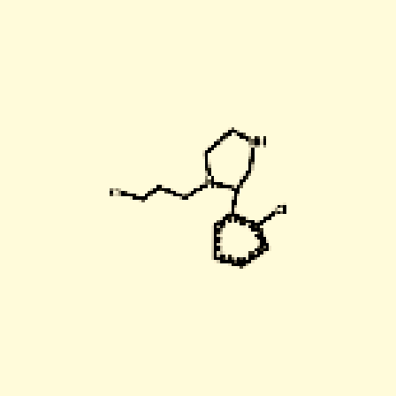 ClCCCN1CCNCC1c1ccccc1Cl